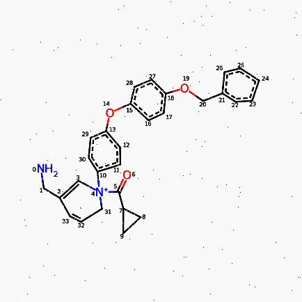 NCC1=C[N+](C(=O)C2CC2)(c2ccc(Oc3ccc(OCc4ccccc4)cc3)cc2)CC=C1